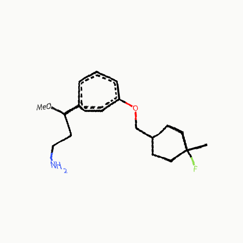 COC(CCN)c1cccc(OCC2CCC(C)(F)CC2)c1